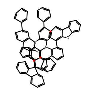 c1ccc(-c2ccc3c(c2)B2c4cc(-c5ccccc5)ccc4N(c4c(-c5cccc6c5oc5ccccc56)cccc4-c4cccc5c4oc4ccccc45)c4cc(C5(c6ccccc6)c6ccccc6-c6ccccc65)cc(c42)S3)cc1